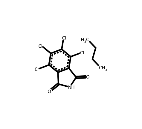 CCCC.O=C1NC(=O)c2c(Cl)c(Cl)c(Cl)c(Cl)c21